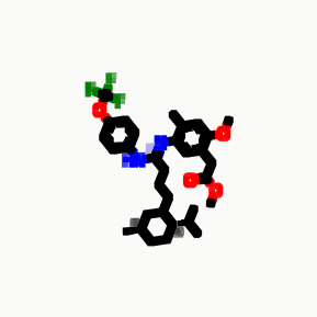 COC(=O)Cc1cc(/N=C(\CCCC2C[C@H](C)CC[C@H]2C(C)C)Nc2ccc(OC(F)(F)F)cc2)c(C)cc1OC